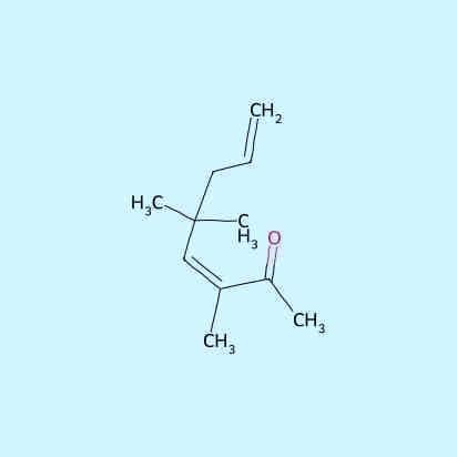 C=CCC(C)(C)C=C(C)C(C)=O